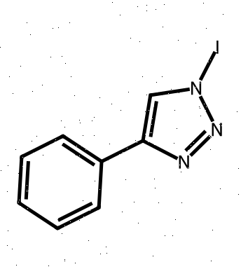 In1cc(-c2ccccc2)nn1